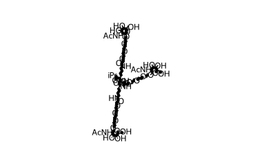 CC(=O)N[C@H]1[C@H](OCCOCCOCCOCC(=O)NCCCC[C@H](NC(=O)COCCOCCOCCO[C@@H]2O[C@H](CO)[C@H](O)[C@H](O)[C@H]2NC(C)=O)C(=O)N[C@H](CCCCNC(=O)COCCOCCOCCO[C@@H]2O[C@H](CO)[C@H](O)[C@H](O)[C@H]2NC(C)=O)C(=O)C(C)C)O[C@H](CO)[C@H](O)[C@@H]1O